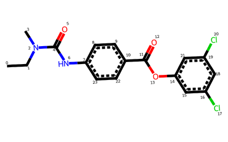 CCN(C)C(=O)Nc1ccc(C(=O)Oc2cc(Cl)cc(Cl)c2)cc1